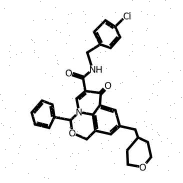 O=C(NCc1ccc(Cl)cc1)c1cn2c3c(cc(CC4CCOCC4)cc3c1=O)COC2c1ccccc1